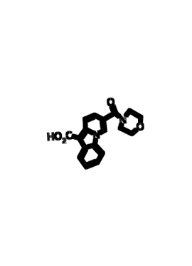 O=C(O)c1c2ccccc2n2cc(C(=O)N3CCOCC3)ccc12